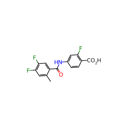 Cc1cc(F)c(F)cc1C(=O)Nc1ccc(C(=O)O)c(F)c1